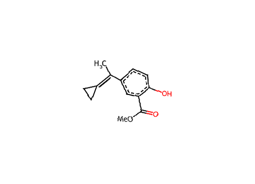 COC(=O)c1cc(C(C)=C2CC2)ccc1O